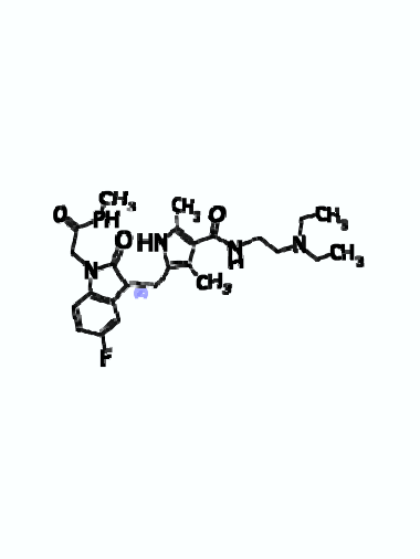 CCN(CC)CCNC(=O)c1c(C)[nH]c(/C=C2\C(=O)N(CC(=O)PC)c3ccc(F)cc32)c1C